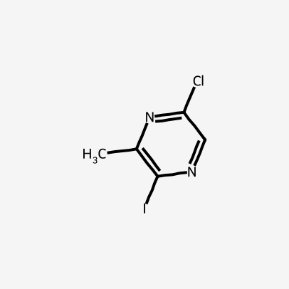 Cc1nc(Cl)cnc1I